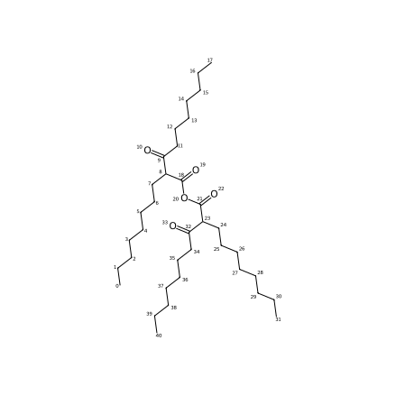 CCCCCCCCC(C(=O)CCCCCCC)C(=O)OC(=O)C(CCCCCCCC)C(=O)CCCCCCC